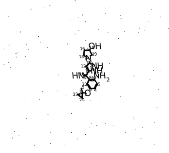 CC1(Oc2ccc(N)c(C(=N)C3=CC(N4CC[C@@H](O)C4)NN3)c2)CC1